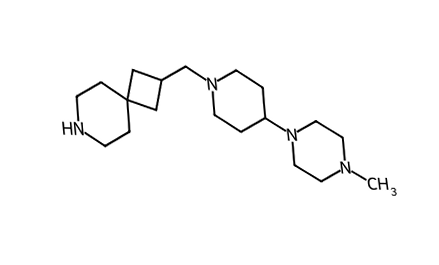 CN1CCN(C2CCN(CC3CC4(CCNCC4)C3)CC2)CC1